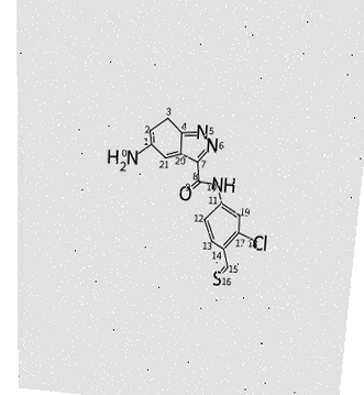 NC1=CCC2=NN=C(C(=O)Nc3ccc(C=S)c(Cl)c3)C2=C1